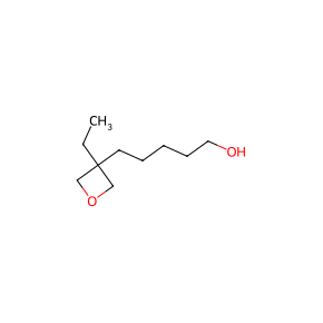 CCC1(CCCCCO)COC1